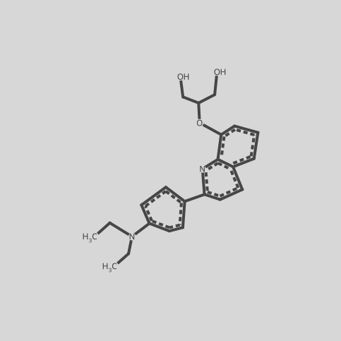 CCN(CC)c1ccc(-c2ccc3cccc(OC(CO)CO)c3n2)cc1